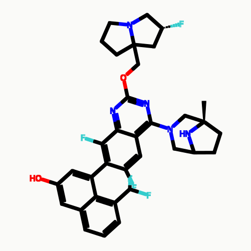 C[C@]12CCC(CN(c3nc(OCC45CCCN4C[C@H](F)C5)nc4c(F)c(-c5cc(O)cc6cccc(C(F)F)c56)c(F)cc34)C1)N2